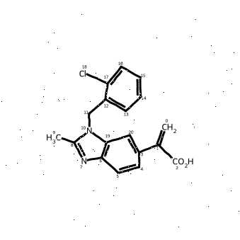 C=C(C(=O)O)c1ccc2nc(C)n(Cc3ccccc3Cl)c2c1